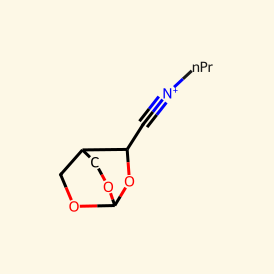 CCC[N+]#CC1OC2OCC1CO2